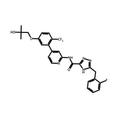 CC(C)(O)COc1ccc(C(F)(F)F)c(-c2ccnc(NC(=O)c3nnc(Cc4ccccc4F)[nH]3)c2)c1